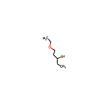 CCOCCC(S)CC